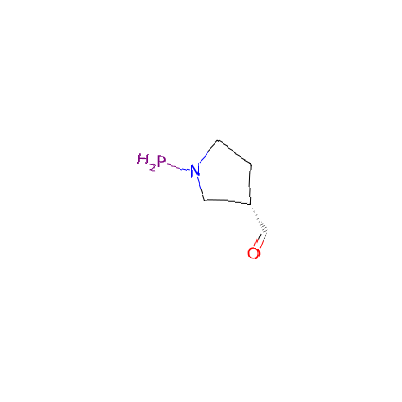 O=C[C@H]1CCN(P)C1